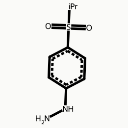 CC(C)S(=O)(=O)c1ccc(NN)cc1